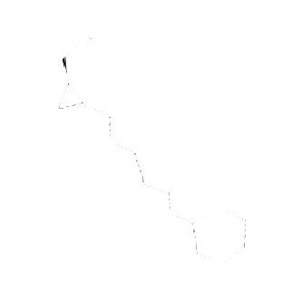 OC[C@@H]1CC1COCCCOC1CCCCO1